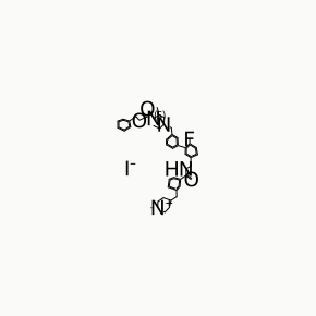 C[C@H]1CN(Cc2cccc(-c3cc(CNC(=O)c4cccc(CC5CC[N+](C)(C)CC5)c4)ccc3F)c2)CCN1C(=O)OCc1ccccc1.[I-]